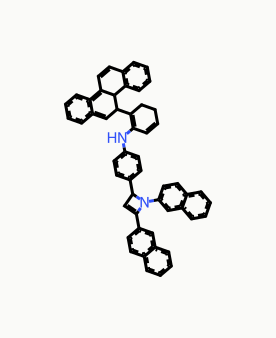 C1=CC(Nc2ccc(C3C=C(c4ccc5ccccc5c4)N3c3ccc4ccccc4c3)cc2)=C(C2C=c3ccccc3=C3C=Cc4ccccc4C32)CC1